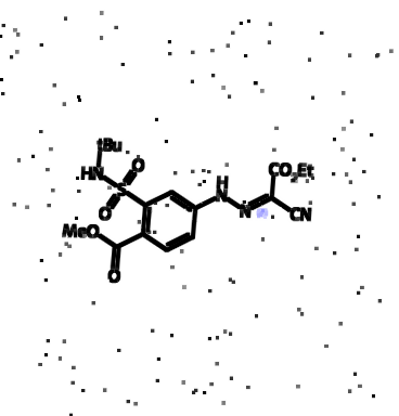 CCOC(=O)/C(C#N)=N\Nc1ccc(C(=O)OC)c(S(=O)(=O)NC(C)(C)C)c1